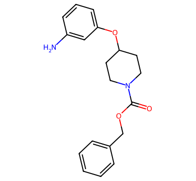 Nc1cccc(OC2CCN(C(=O)OCc3ccccc3)CC2)c1